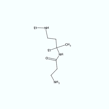 CCNCCC(C)(CC)NC(=O)CCN